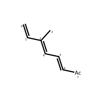 C=C/C(C)=C/C=C/C(C)=O